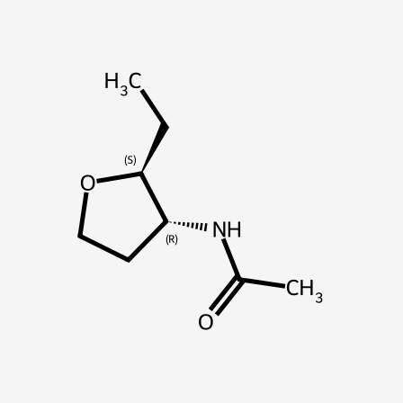 CC[C@@H]1OCC[C@H]1NC(C)=O